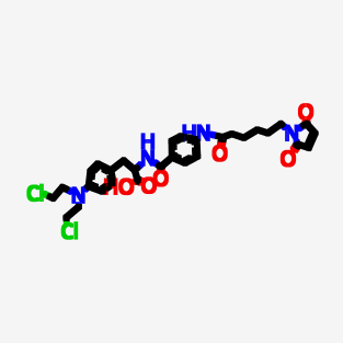 O=C(CCCCCN1C(=O)C=CC1=O)Nc1ccc(C(=O)NC(Cc2ccc(N(CCCl)CCCl)cc2)C(=O)O)cc1